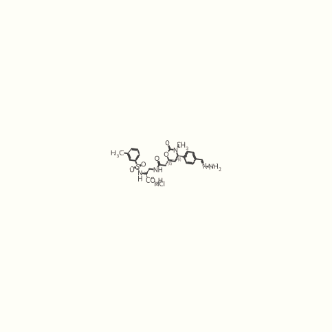 Cc1cccc(S(=O)(=O)N[C@@H](CNC(=O)C[C@@H]2C[C@H](c3ccc(C=NN)cc3)N(C)C(=O)O2)C(=O)O)c1.Cl